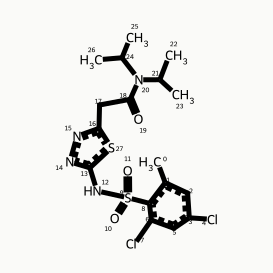 Cc1cc(Cl)cc(Cl)c1S(=O)(=O)Nc1nnc(CC(=O)N(C(C)C)C(C)C)s1